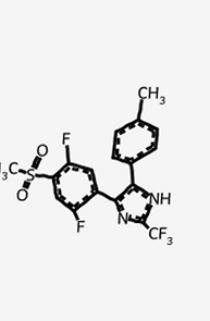 Cc1ccc(-c2[nH]c(C(F)(F)F)nc2-c2cc(F)c(S(C)(=O)=O)cc2F)cc1